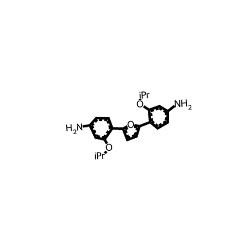 CC(C)Oc1cc(N)ccc1-c1ccc(-c2ccc(N)cc2OC(C)C)o1